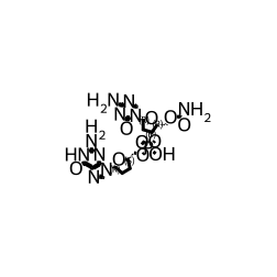 NC(=O)OC[C@H]1O[C@@H](n2cnc(N)nc2=O)C[C@H]1OP(=O)(O)OC[C@@H]1CC[C@H](n2cnc3c(=O)[nH]c(N)nc32)O1